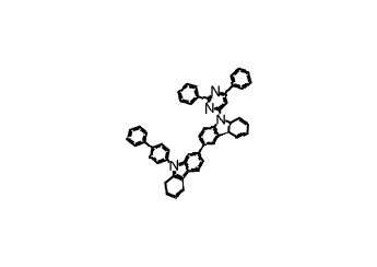 C1=CC2c3cc(-c4ccc5c6c(n(-c7ccc(-c8ccccc8)cc7)c5c4)CCC=C6)ccc3N(c3cc(-c4ccccc4)nc(-c4ccccc4)n3)C2C=C1